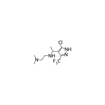 CC(NCCN(C)C)c1c(C(F)(F)F)n[nH]c1Cl